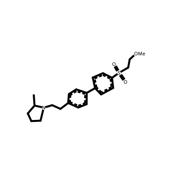 COCCS(=O)(=O)c1ccc(-c2ccc(CCN3CCCC3C)cc2)cc1